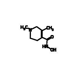 CC1=C(C(=O)NO)CCN(C)C1